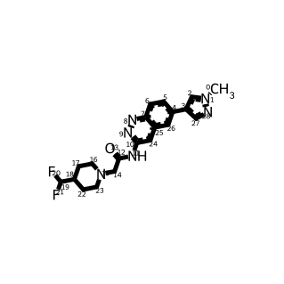 Cn1cc(-c2ccc3nnc(NC(=O)CN4CCC(C(F)F)CC4)cc3c2)cn1